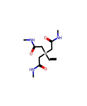 C=C[Si](CC(=O)NC)(CC(=O)NC)CC(=O)NC